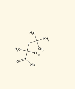 CC(C)(N)CC(C)(C)C(=O)N=O